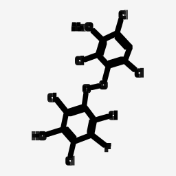 COc1c(Cl)cc(Cl)c(OOc2c(Cl)c(O)c(Cl)c(F)c2Cl)c1Cl